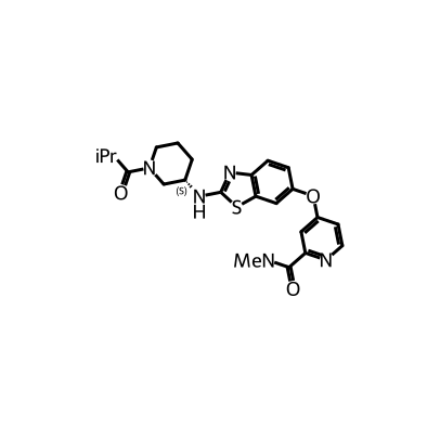 CNC(=O)c1cc(Oc2ccc3nc(N[C@H]4CCCN(C(=O)C(C)C)C4)sc3c2)ccn1